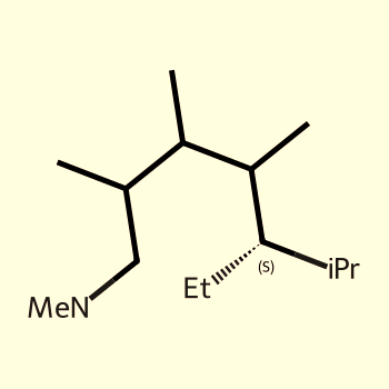 CC[C@@H](C(C)C)C(C)C(C)C(C)CNC